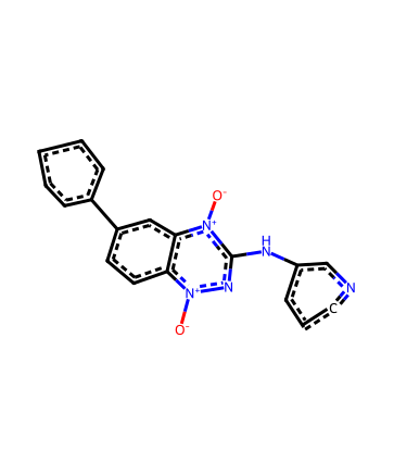 [O-][n+]1nc(Nc2cccnc2)[n+]([O-])c2cc(-c3ccccc3)ccc21